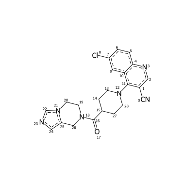 N#Cc1cnc2ccc(Cl)cc2c1N1CCC(C(=O)N2CCn3cncc3C2)CC1